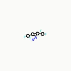 N#CN=C1c2cc(-c3ccc(F)cc3F)ccc2-c2ccc(-c3ccc(F)cc3F)cc21